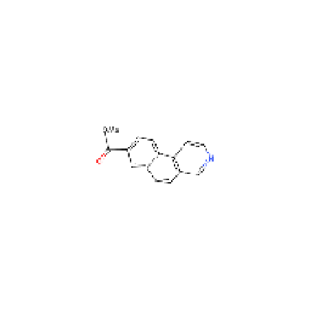 COC(=O)c1ccc2c(ccc3cnccc32)c1